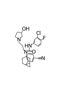 N#Cc1cccc(C23CCC(N(CCCN4CCC(O)C4)C(=O)Nc4ccc(F)c(Cl)c4)CC2C3)c1